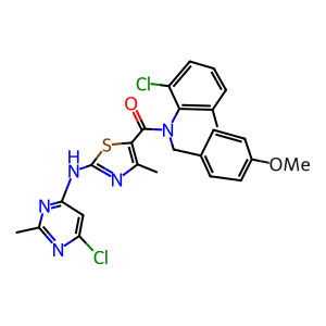 COc1ccc(CN(C(=O)c2sc(Nc3cc(Cl)nc(C)n3)nc2C)c2c(C)cccc2Cl)cc1